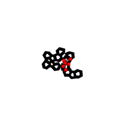 c1ccc(N(c2ccc3c(c2)-c2ccccc2C3)c2ccc3c(c2)C2(c4ccccc4-3)c3ccccc3-c3c2cc(N(c2ccccc2)c2ccccc2)c2ccccc32)cc1